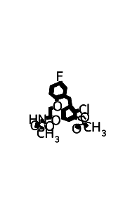 CS(=O)(=O)NC(=O)COc1ccc(F)cc1Cc1cccc(S(C)(=O)=O)c1Cl